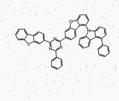 c1ccc(-c2nc(-c3ccc4c(c3)oc3cccc(-n5c6ccccc6c6c(-c7ccccc7)cccc65)c34)nc(-c3ccc4c(c3)sc3ccccc34)n2)cc1